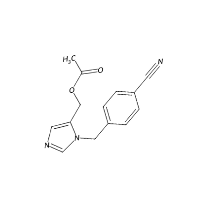 CC(=O)OCc1cncn1Cc1ccc(C#N)cc1